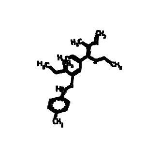 C=N/C(C)=C(SCC)/C(/C=C(/SNc1ccc(C)cc1)C(=C)CC)=C/C